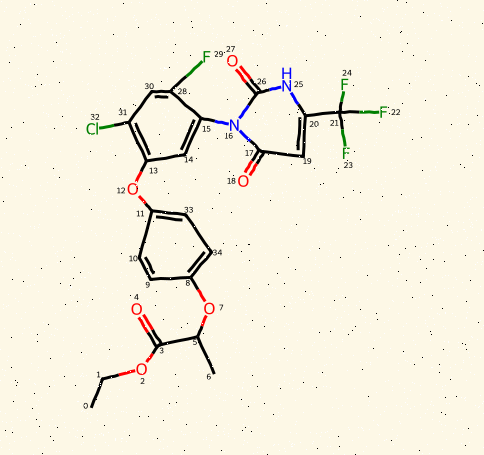 CCOC(=O)C(C)Oc1ccc(Oc2cc(-n3c(=O)cc(C(F)(F)F)[nH]c3=O)c(F)cc2Cl)cc1